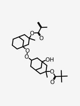 C=C(C)C(=O)OC1(C)CC2CCCC(OOC3CC4CC(O)(C3)CC(C)(OC(=O)C(C)(C)C)C4)(C2)C1